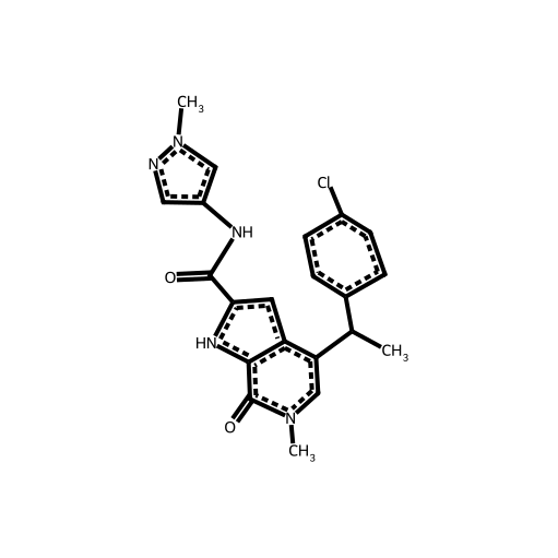 CC(c1ccc(Cl)cc1)c1cn(C)c(=O)c2[nH]c(C(=O)Nc3cnn(C)c3)cc12